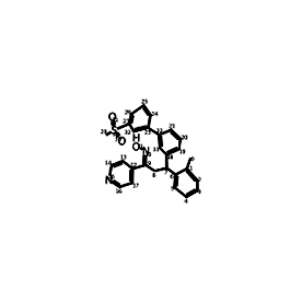 Cc1ccccc1C(CC(=NO)c1ccncc1)c1cccc(-c2cccc(S(C)(=O)=O)c2)c1